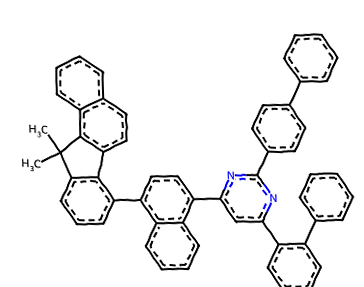 CC1(C)c2cccc(-c3ccc(-c4cc(-c5ccccc5-c5ccccc5)nc(-c5ccc(-c6ccccc6)cc5)n4)c4ccccc34)c2-c2ccc3ccccc3c21